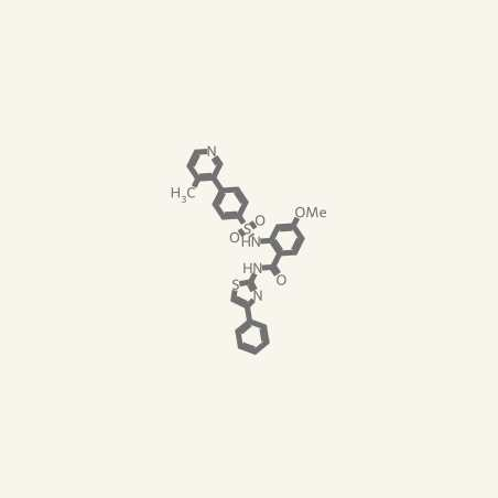 COc1ccc(C(=O)Nc2nc(-c3ccccc3)cs2)c(NS(=O)(=O)c2ccc(-c3cnccc3C)cc2)c1